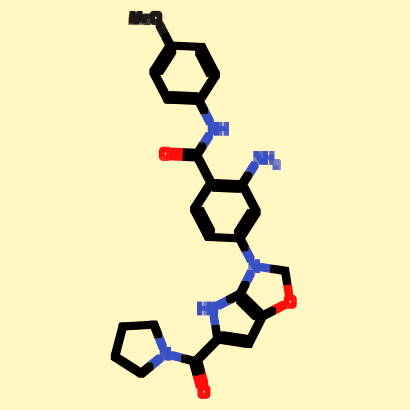 COc1ccc(NC(=O)c2ccc(N3COc4cc(C(=O)N5CCCC5)[nH]c43)cc2N)cc1